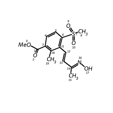 COC(=O)c1ccc(S(C)(=O)=O)c(C=CC(C)=NO)c1C